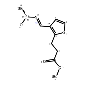 CC(C)(C)OC(=O)CCc1sccc1/C=N/[S@@+]([O-])C(C)(C)C